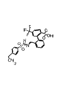 CCc1ccc(S(=O)(=O)NN=Cc2ccccc2-c2cc(C(F)(F)F)ccc2S(=O)(=O)O)cc1